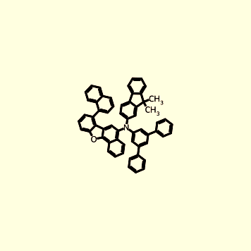 CC1(C)c2ccccc2-c2ccc(N(c3cc(-c4ccccc4)cc(-c4ccccc4)c3)c3cc4c(oc5cccc(-c6cccc7ccccc67)c54)c4ccccc34)cc21